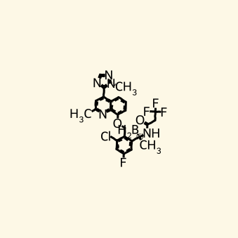 B[C@@](C)(NC(=O)CC(F)(F)F)c1cc(F)cc(Cl)c1COc1cccc2c(-c3ncnn3C)cc(C)nc12